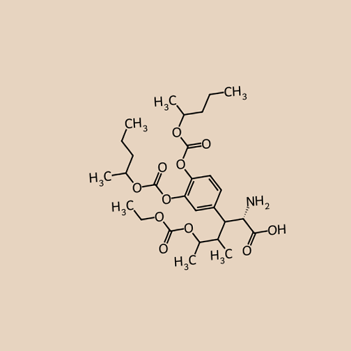 CCCC(C)OC(=O)Oc1ccc(C(C(C)C(C)OC(=O)OCC)[C@H](N)C(=O)O)cc1OC(=O)OC(C)CCC